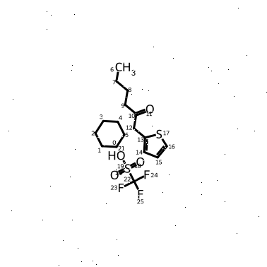 C1CCCCC1.CCCCC(=O)Cc1cccs1.O=S(=O)(O)C(F)(F)F